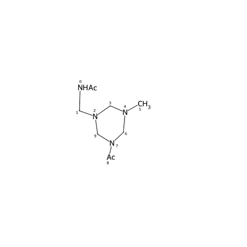 CC(=O)NCN1CN(C)CN(C(C)=O)C1